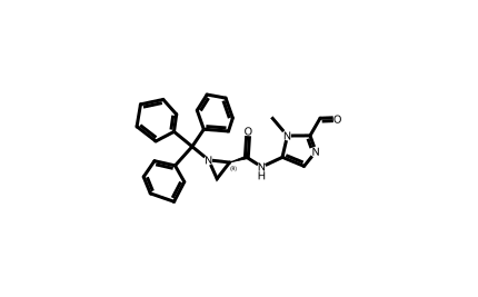 Cn1c(NC(=O)[C@H]2CN2C(c2ccccc2)(c2ccccc2)c2ccccc2)cnc1C=O